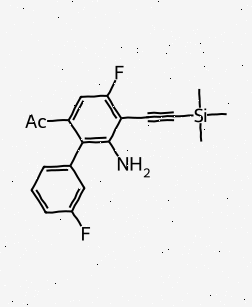 CC(=O)c1cc(F)c(C#C[Si](C)(C)C)c(N)c1-c1cccc(F)c1